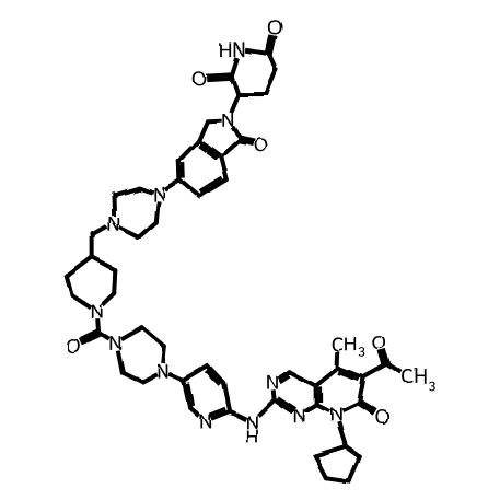 CC(=O)c1c(C)c2cnc(Nc3ccc(N4CCN(C(=O)N5CCC(CN6CCN(c7ccc8c(c7)CN(C7CCC(=O)NC7=O)C8=O)CC6)CC5)CC4)cn3)nc2n(C2CCCC2)c1=O